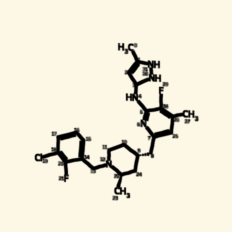 CC1=CC(Nc2nc(C[C@H]3CCN(Cc4cccc(Cl)c4F)[C@H](C)C3)cc(C)c2F)NN1